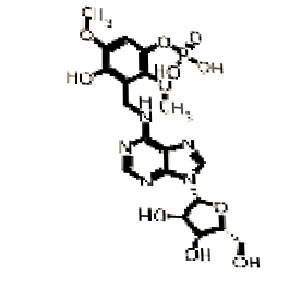 COc1cc(OP(=O)(O)O)c(OC)c(CNc2ncnc3c2ncn3[C@@H]2O[C@H](CO)[C@@H](O)[C@H]2O)c1O